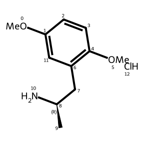 COc1ccc(OC)c(C[C@@H](C)N)c1.Cl